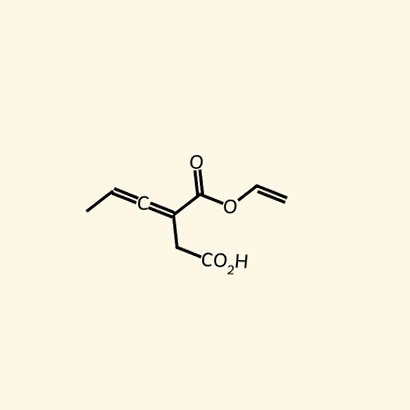 C=COC(=O)C(=C=CC)CC(=O)O